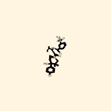 CC(C)C(NC(=O)c1cccc(S(N)(=O)=O)c1)C(=O)N1CCC(O)(c2ccc(Cl)cc2)C(C)(C)C1